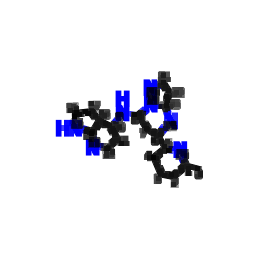 Cc1cccc(-c2cc(Nc3ccnc4[nH]ccc34)n3nccc3n2)n1